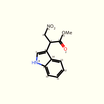 COC(=O)C(C[N+](=O)[O-])c1c[nH]c2ccccc12